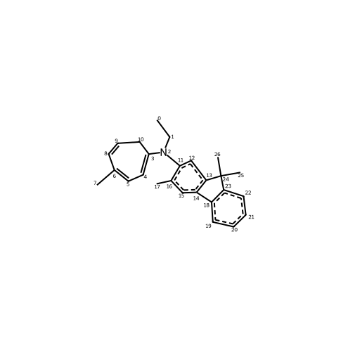 CCN(C1=CC=C(C)C=CC1)c1cc2c(cc1C)-c1ccccc1C2(C)C